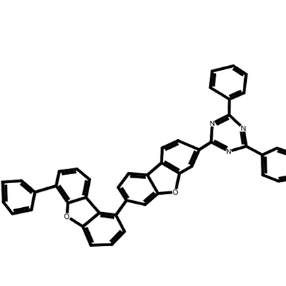 c1ccc(-c2nc(-c3ccccc3)nc(-c3ccc4c(c3)oc3cc(-c5cccc6oc7c(-c8ccccc8)cccc7c56)ccc34)n2)cc1